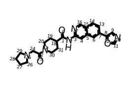 O=C(Nc1cc2cc(-c3cnco3)ccc2cn1)C1CCN(C(=O)CN2CCCC2)CC1